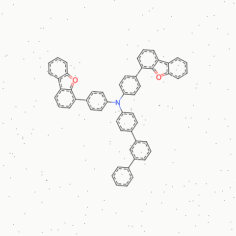 c1ccc(-c2cccc(-c3ccc(N(c4ccc(-c5cccc6c5oc5ccccc56)cc4)c4ccc(-c5cccc6c5oc5ccccc56)cc4)cc3)c2)cc1